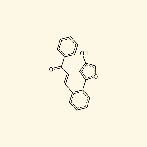 O=C(C=Cc1ccccc1-c1cc(O)co1)c1ccccc1